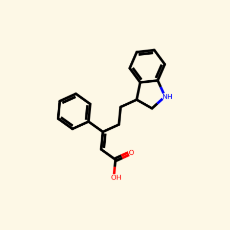 O=C(O)/C=C(\CCC1CNc2ccccc21)c1ccccc1